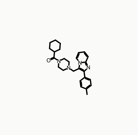 Cc1ccc(-c2nc3ccccn3c2CN2CCN(C(=O)C3CCCCC3)CC2)cc1